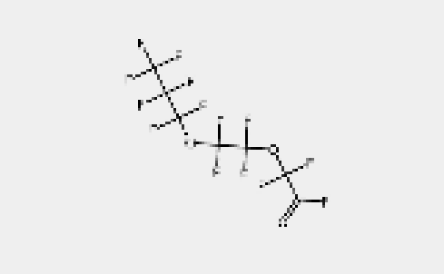 O=C(F)C(F)(F)OC(F)(F)C(F)(F)OC(F)(F)C(F)(F)C(F)(F)F